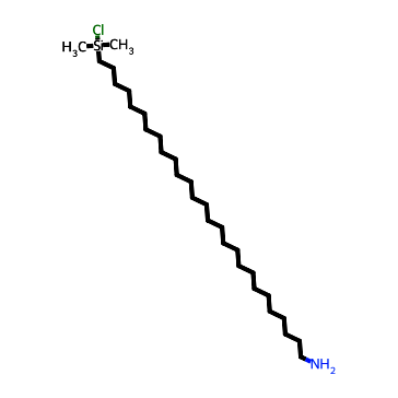 C[Si](C)(Cl)CCCCCCCCCCCCCCCCCCCCCCCCCCCN